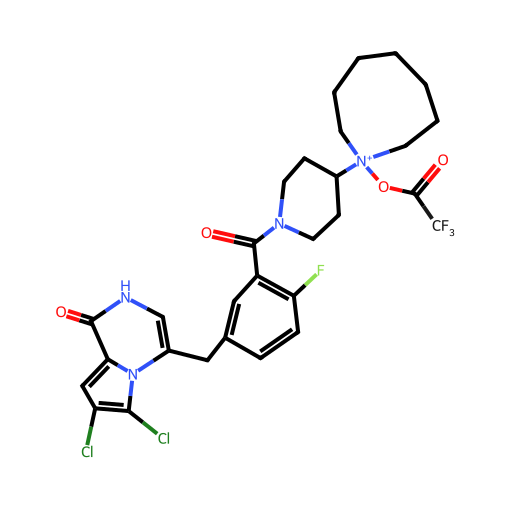 O=C(c1cc(Cc2c[nH]c(=O)c3cc(Cl)c(Cl)n23)ccc1F)N1CCC([N+]2(OC(=O)C(F)(F)F)CCCCCCC2)CC1